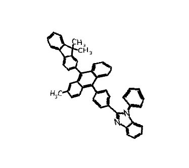 Cc1ccc2c(-c3ccc(-c4nc5ccccc5n4-c4ccccc4)cc3)c3ccccc3c(-c3ccc4c(c3)C(C)(C)c3ccccc3-4)c2c1